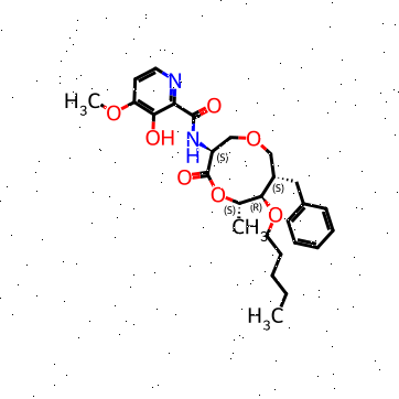 CCCCCO[C@@H]1[C@@H](Cc2ccccc2)COC[C@H](NC(=O)c2nccc(OC)c2O)C(=O)O[C@H]1C